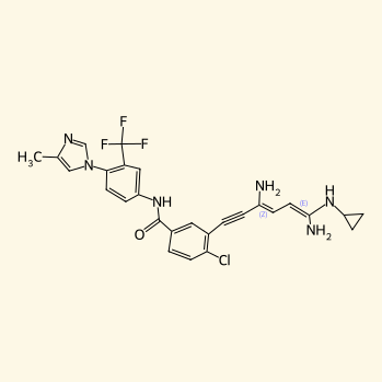 Cc1cn(-c2ccc(NC(=O)c3ccc(Cl)c(C#C/C(N)=C/C=C(\N)NC4CC4)c3)cc2C(F)(F)F)cn1